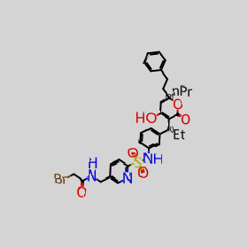 CCC[C@@]1(CCc2ccccc2)CC(O)=C([C@H](CC)c2cccc(NS(=O)(=O)c3ccc(CNC(=O)CBr)cn3)c2)C(=O)O1